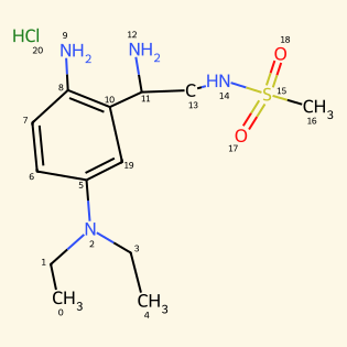 CCN(CC)c1ccc(N)c(C(N)CNS(C)(=O)=O)c1.Cl